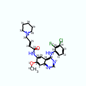 COc1cc2ncnc(Nc3cccc(Cl)c3F)c2cc1NC(=O)C=CCN1CCCCC1